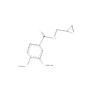 COc1ccc(C(=O)NCC2CO2)cc1OC